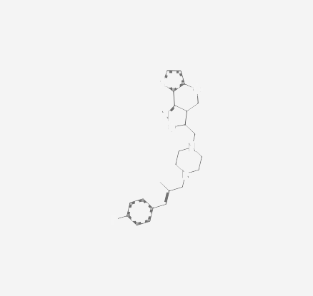 C/C(=C\c1ccc(F)cc1)CN1CCN(CC2ON=C3c4sccc4OCC32)CC1